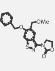 COCc1cc2c(N3CCOC3=O)nsc2cc1OCc1ccccc1